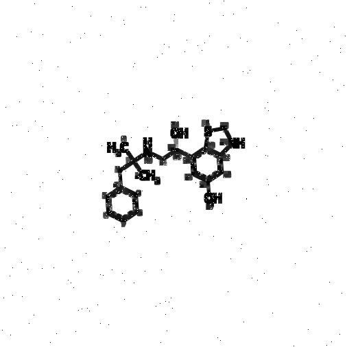 CC(C)(Cc1ccccc1)NC[C@H](O)c1cc(O)cc2c1SCN2